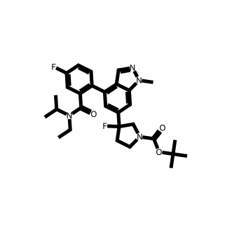 CCN(C(=O)c1cc(F)ccc1-c1cc(C2(F)CCN(C(=O)OC(C)(C)C)C2)cc2c1cnn2C)C(C)C